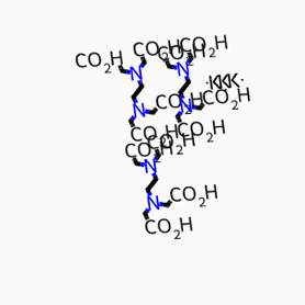 O=C(O)CN(CCN(CC(=O)O)CC(=O)O)CC(=O)O.O=C(O)CN(CCN(CC(=O)O)CC(=O)O)CC(=O)O.O=C(O)CN(CCN(CC(=O)O)CC(=O)O)CC(=O)O.[K].[K].[K]